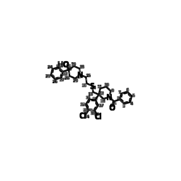 O=C(c1ccccc1)N1CCCC(CSCCN2CCC(O)(c3ccccc3)CC2)(c2ccc(Cl)c(Cl)c2)C1